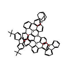 CC(C)(C)c1ccc2c(c1)c1cc(C(C)(C)C)ccc1n2-c1cc2c3c(c1)N(c1c(-c4ccccc4)cccc1-c1ccccc1)c1cc(-n4c5ccccc5c5ccccc54)ccc1B3c1ccc(N3C4CC5CCC3C(C5)C4)cc1N2c1c(-c2ccccc2)cccc1-c1ccccc1